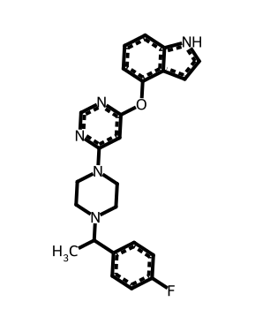 CC(c1ccc(F)cc1)N1CCN(c2cc(Oc3cccc4[nH]ccc34)ncn2)CC1